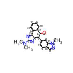 CN(C)C1=NC2=C(c3ccc4cnn(C)c4c3)C(=O)c3ccccc3C2=N1